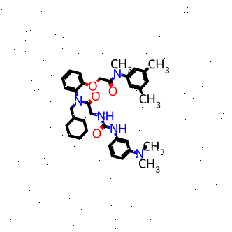 Cc1cc(C)cc(N(C)C(=O)COc2ccccc2N(CC2CCCCC2)C(=O)CNC(=O)Nc2cccc(N(C)C)c2)c1